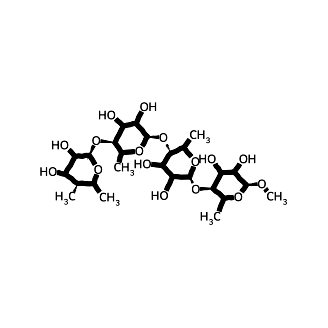 CO[C@H]1OC(C)[C@@H](O[C@H]2OC(C)[C@@H](O[C@H]3OC(C)[C@@H](O[C@H]4OC(C)[C@H](C)C(O)C4O)C(O)C3O)C(O)C2O)C(O)C1O